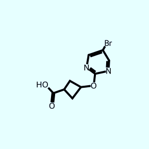 O=C(O)C1CC(Oc2ncc(Br)cn2)C1